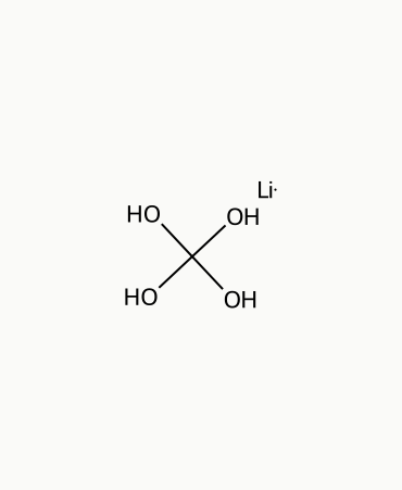 OC(O)(O)O.[Li]